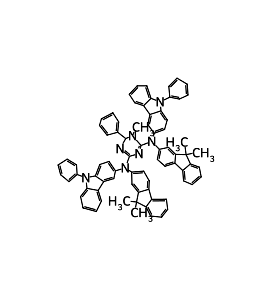 CN1C(N(c2ccc3c(c2)C(C)(C)c2ccccc2-3)c2ccc3c(c2)c2ccccc2n3-c2ccccc2)=NC(N(c2ccc3c(c2)C(C)(C)c2ccccc2-3)c2ccc3c(c2)c2ccccc2n3-c2ccccc2)=NC1c1ccccc1